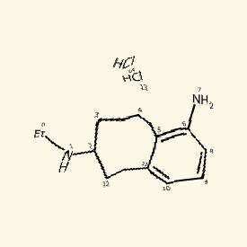 CCNC1CCc2c(N)cccc2C1.Cl.Cl